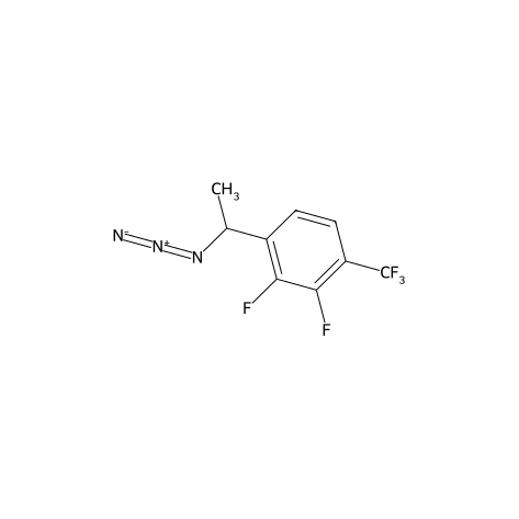 CC(N=[N+]=[N-])c1ccc(C(F)(F)F)c(F)c1F